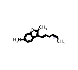 C/C=C\CC=Cc1c(C)oc2cc(N)ccc12